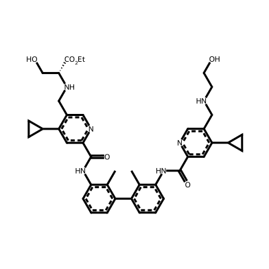 CCOC(=O)[C@@H](CO)NCc1cnc(C(=O)Nc2cccc(-c3cccc(NC(=O)c4cc(C5CC5)c(CNCCO)cn4)c3C)c2C)cc1C1CC1